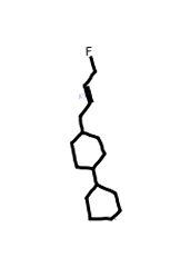 FC/C=C/CC1CCC(C2CC[CH]CC2)CC1